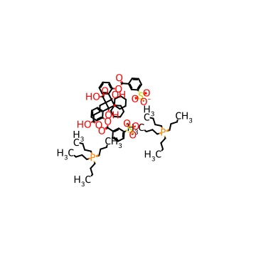 CCCC[P+](CCCC)(CCCC)CCCC.CCCC[P+](CCCC)(CCCC)CCCC.O=C(O)CCCC(C(=O)O)(C(O)(c1ccccc1OC(=O)c1cccc(S(=O)(=O)[O-])c1)C1CCCCC1)C(O)(c1ccccc1OC(=O)c1cccc(S(=O)(=O)[O-])c1)C1CCCCC1